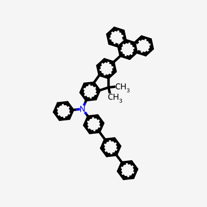 CC1(C)c2cc(-c3cc4ccccc4c4ccccc34)ccc2-c2ccc(N(c3ccccc3)c3ccc(-c4ccc(-c5ccccc5)cc4)cc3)cc21